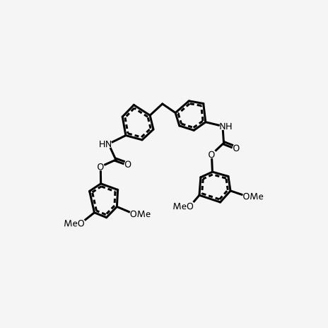 COc1cc(OC)cc(OC(=O)Nc2ccc(Cc3ccc(NC(=O)Oc4cc(OC)cc(OC)c4)cc3)cc2)c1